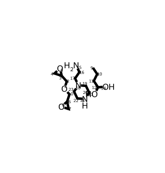 C(OCC1CO1)C1CO1.CCCC(O)O.NCCN1CCNCC1